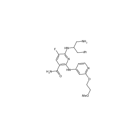 COCCOc1cc(Nc2nc(NC(CN)CC(C)C)c(F)cc2C(N)=O)ccn1